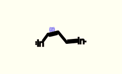 [In]/[CH]=C\[CH]=[In]